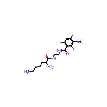 NCCCCC(N)C(=O)NCCNC(=O)c1c(I)cc(I)c(N)c1I